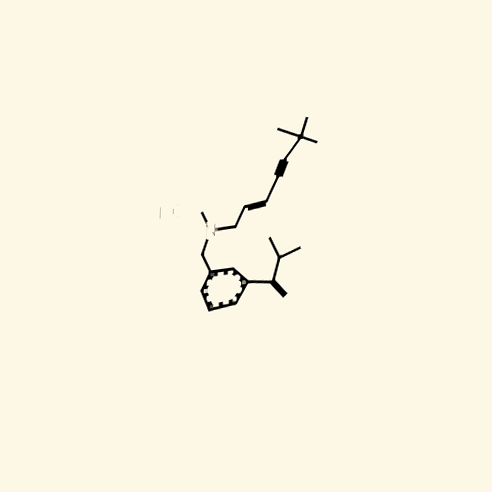 C=C(c1cccc(CN(C)CC=CC#CC(C)(C)C)c1)C(C)C.Cl